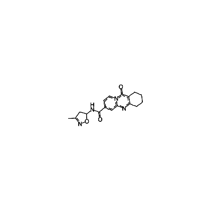 CC1=NOC(NC(=O)c2ccn3c(=O)c4c(nc3c2)CCCC4)C1